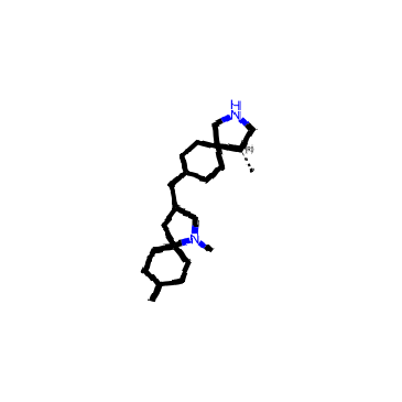 CC1CCC2(CC1)CC(CC1CCC3(CC1)CNC[C@@H]3C)CN2C